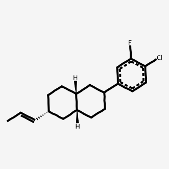 CC=C[C@@H]1CC[C@@H]2CC(c3ccc(Cl)c(F)c3)CC[C@@H]2C1